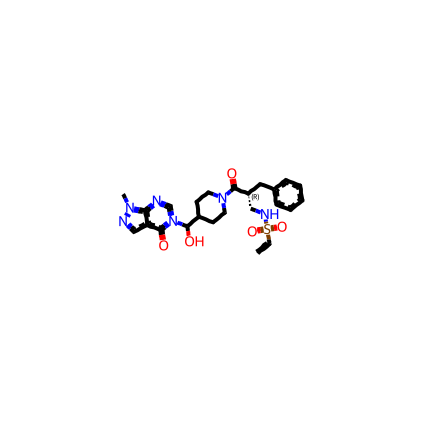 C=CS(=O)(=O)NC[C@@H](Cc1ccccc1)C(=O)N1CCC(C(O)n2cnc3c(cnn3C)c2=O)CC1